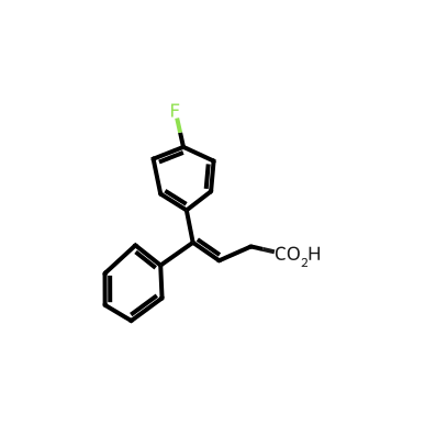 O=C(O)CC=C(c1ccccc1)c1ccc(F)cc1